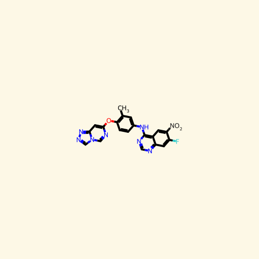 Cc1cc(Nc2ncnc3cc(F)c([N+](=O)[O-])cc23)ccc1Oc1cc2nncn2cn1